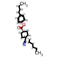 CCCCCC[C@]1(C#N)CC[C@@H](C(=O)Oc2ccc(CCCC)cc2)CC1